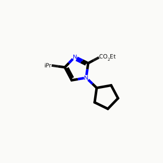 CCOC(=O)c1nc(C(C)C)cn1C1CCCC1